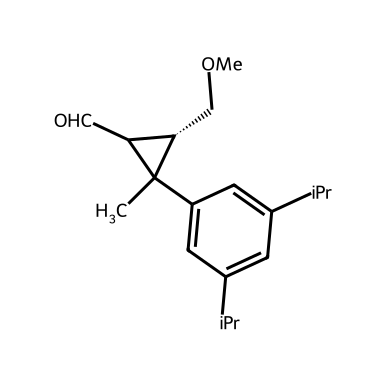 COC[C@H]1C(C=O)C1(C)c1cc(C(C)C)cc(C(C)C)c1